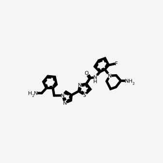 NCc1ccccc1Cn1cc(-c2nc(C(=O)Nc3cccc(F)c3N3CCCC(N)C3)cs2)cn1